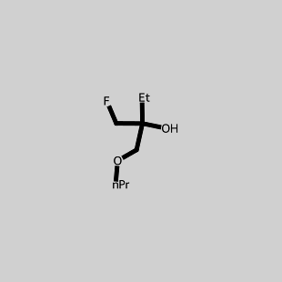 CCCOCC(O)(CC)CF